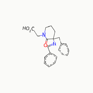 O=C(O)CN1CCCC(Cc2ccccc2)(/N=C/c2ccccc2)C1=O